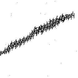 NNNNNNNNNNNNNNNNNNNNNNNNNNNNNNNNNNNNNNNCI